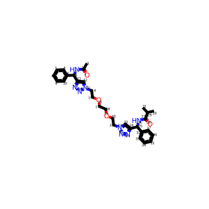 CC(=O)NC(c1ccccc1)c1cn(CCOCCOCCn2cc(C(NC(=O)C(C)C)c3ccccc3)nn2)nn1